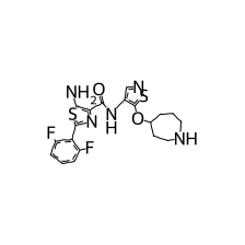 Nc1sc(-c2c(F)cccc2F)nc1C(=O)Nc1cnsc1OC1CCCNCC1